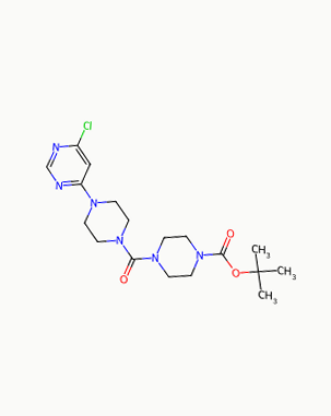 CC(C)(C)OC(=O)N1CCN(C(=O)N2CCN(c3cc(Cl)ncn3)CC2)CC1